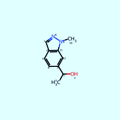 CC(O)c1ccc2cnn(C)c2c1